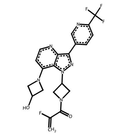 C=C(F)C(=O)N1CC(n2nc(-c3ccc(C(F)(F)F)nc3)c3nccc(N4CC(O)C4)c32)C1